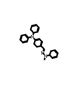 CN(N=CC1=CC=C(N(c2ccccc2)C2C=CC=CC2)CC1)C1C=CC=CC1